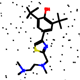 CN(C)CCN(C)Cc1nc(-c2cc(C(C)(C)C)c(O)c(C(C)(C)C)c2)cs1